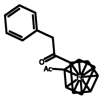 CC(=O)[C]12[CH]3[CH]4[CH]5[CH]1[Fe]45321678[CH]2[CH]1[CH]6[C]7(C(=O)Cc1ccccc1)[CH]28